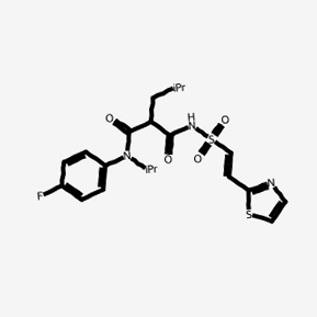 CC(C)CC(C(=O)NS(=O)(=O)C=Cc1nccs1)C(=O)N(c1ccc(F)cc1)C(C)C